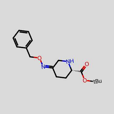 CC(C)(C)OC(=O)[C@@H]1CCC(=NOCc2ccccc2)CN1